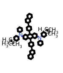 C[Si](C)(C)c1ccc(N(c2ccccc2)c2ccc3c(-c4ccc(-c5ccc6ccccc6c5)cc4)c4cc(N(c5ccccc5)c5ccc([Si](C)(C)C)cc5)ccc4c(-c4ccc(-c5ccc6ccccc6c5)cc4)c3c2)cc1